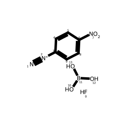 F.N#[N+]c1ccc([N+](=O)[O-])cc1.OB(O)O